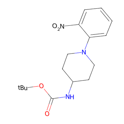 CC(C)(C)OC(=O)NC1CCN(c2ccccc2[N+](=O)[O-])CC1